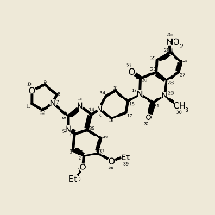 CCOc1cc2nc(N3CCOCC3)nc(N3CCC(n4c(=O)c5cc([N+](=O)[O-])ccc5n(C)c4=O)CC3)c2cc1OCC